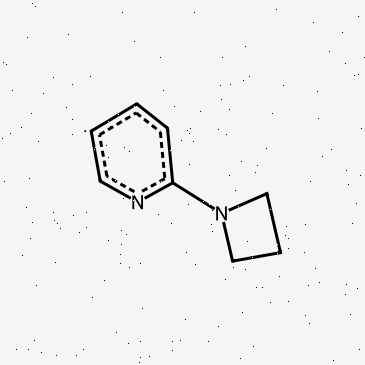 [c]1ccc(N2CCC2)nc1